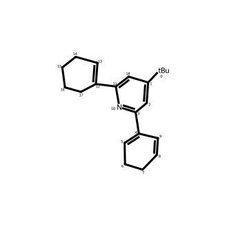 CC(C)(C)c1cc(C2=CCCC=C2)nc(C2=CCCCC2)c1